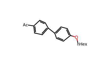 CCCCCCOc1ccc(-c2ccc(C(C)=O)cc2)cc1